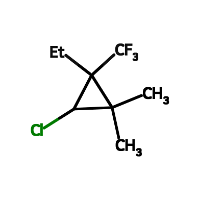 CCC1(C(F)(F)F)C(Cl)C1(C)C